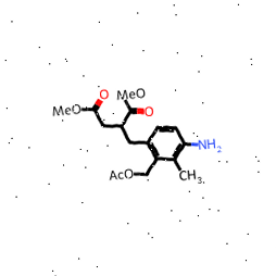 COC(=O)CC(Cc1ccc(N)c(C)c1COC(C)=O)C(=O)OC